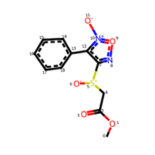 COC(=O)C[S+]([O-])c1no[n+]([O-])c1-c1ccccc1